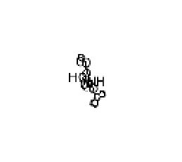 O=C(N[C@@H](COCCOC1CCCCO1)C(=O)O)OCC1c2ccccc2-c2ccccc21